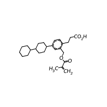 C=C(C)C(=O)OCc1cc(C2CCC(C3CCCCC3)CC2)ccc1CCC(=O)O